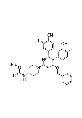 Cc1ccc(-c2c(-c3ccc(C#N)c(F)c3)nc(N3CCC(NC(=O)OC(C)(C)C)CC3)c(C)c2OCc2ccccc2)cc1O